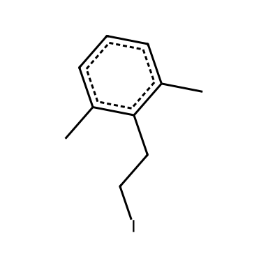 Cc1cccc(C)c1CCI